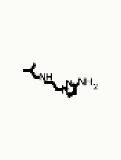 CC(C)CNCCCn1ccc(N)n1